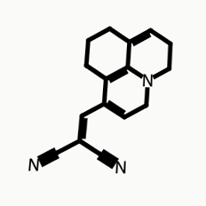 N#CC(C#N)=CC1=CCN2CCC=C3CCCC1=C32